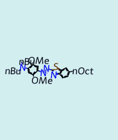 CCCCCCCCc1ccc2nc(/N=N/c3cc(OC)c(N(CCCC)CCCC)cc3OC)sc2c1